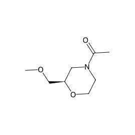 COC[C@H]1CN(C(C)=O)CCO1